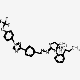 CCC(C)c1ccccc1N1/C(=N/N=C/c2ccc(-c3ncn(-c4ccc(OC(F)(F)F)cc4)n3)cc2)SCC1(C)O